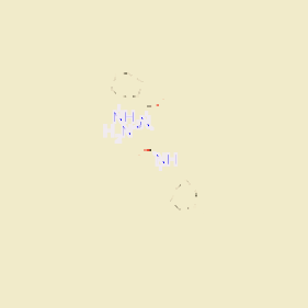 COc1ccc(CNC(=O)CN(N)C(=O)c2cccc(C)c2N)cc1